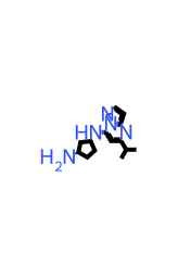 CC(C)c1cc(N[C@H]2CC[C@@H](N)C2)n2nccc2n1